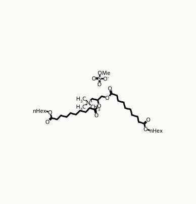 CCCCCCOC(=O)CCCCCCCCC(=O)OCC(C[N+](C)(C)C)OC(=O)CCCCCCCCC(=O)OCCCCCC.COS(=O)(=O)[O-]